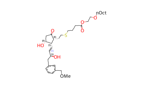 CCCCCCCCOCCOC(=O)CCCSCC[C@H]1C(=O)C[C@@H](O)[C@H]1/C=C/[C@@H](O)Cc1cccc(COC)c1